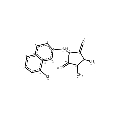 CC1C(=O)N(Nc2ccc3cccc(Cl)c3n2)C(=O)C1C